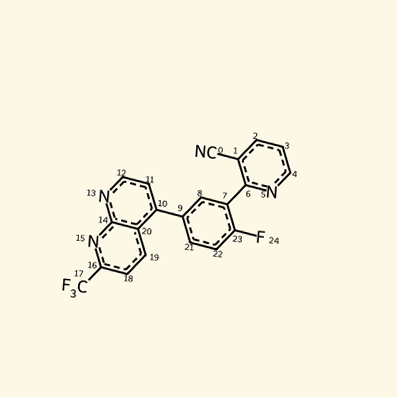 N#Cc1cccnc1-c1cc(-c2ccnc3nc(C(F)(F)F)ccc23)ccc1F